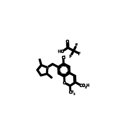 CC1CCC(C)N1Cc1cc2c(cc1Cl)C=C(C(=O)O)C(C(F)(F)F)O2.O=C(O)C(F)(F)F